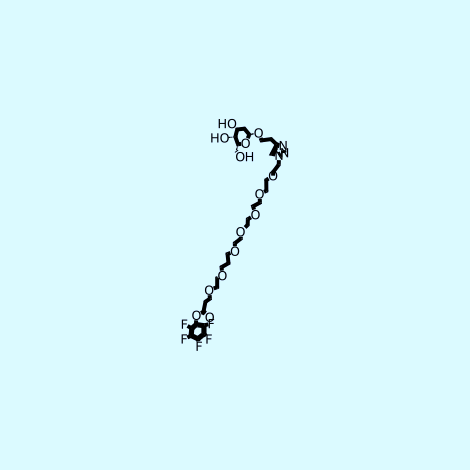 O=C(CCOCCOCCCOCCOCCOCCOCCOCCn1cc(CCO[C@H]2C[C@@H](O)[C@@H](O)[C@@H](CO)O2)nn1)Oc1c(F)c(F)c(F)c(F)c1F